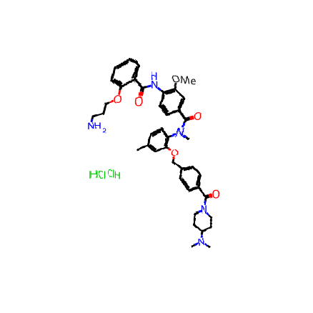 COc1cc(C(=O)N(C)c2ccc(C)cc2OCc2ccc(C(=O)N3CCC(N(C)C)CC3)cc2)ccc1NC(=O)c1ccccc1OCCCN.Cl.Cl